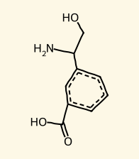 NC(CO)c1cccc(C(=O)O)c1